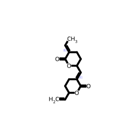 C=CC1CC/C(=C\C2CC/C(=C\C)C(=O)O2)C(=O)O1